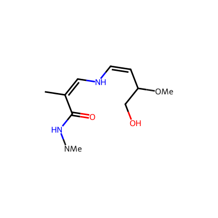 CNNC(=O)/C(C)=C\N/C=C\C(CO)OC